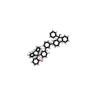 CC1(c2ccccc2)c2ccccc2-c2ccc(-c3cccc(-c4ccc5c(c4)C4(c6ccccc6O5)c5ccccc5-c5ccccc54)c3)cc21